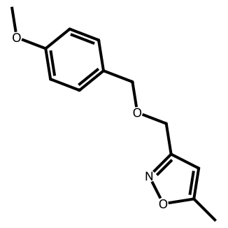 COc1ccc(COCc2cc(C)on2)cc1